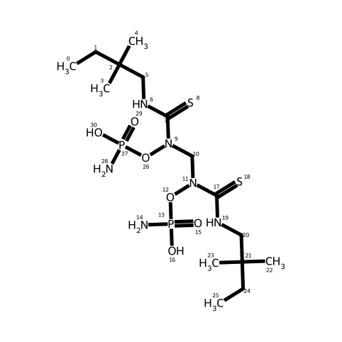 CCC(C)(C)CNC(=S)N(CN(OP(N)(=O)O)C(=S)NCC(C)(C)CC)OP(N)(=O)O